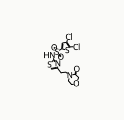 O=C1COCCN1CCc1csc(NS(=O)(=O)c2cc(Cl)c(Cl)s2)n1